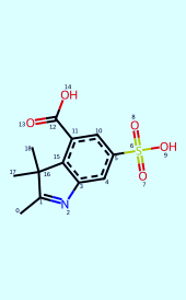 CC1=Nc2cc(S(=O)(=O)O)cc(C(=O)O)c2C1(C)C